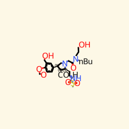 CCCCN(CCCO)C(=O)CN1C[C@H](c2cc(CO)c3c(c2)OCO3)[C@@H](C(=O)O)[C@@H]1CCNS(C)(=O)=O